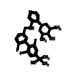 CC1CN(c2ccncc2NCc2ccc(F)c(-c3c(F)cc(C(C)(C)C#N)cc3F)n2)CC(N)C1O